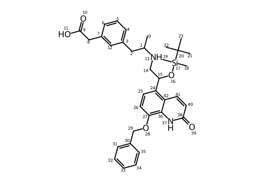 CC(Cc1cccc(CC(=O)O)c1)NCC(O[Si](C)(C)C(C)(C)C)c1ccc(OCc2ccccc2)c2[nH]c(=O)ccc12